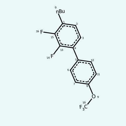 CCCCc1ccc(-c2ccc(OC(F)(F)F)cc2)c(F)c1F